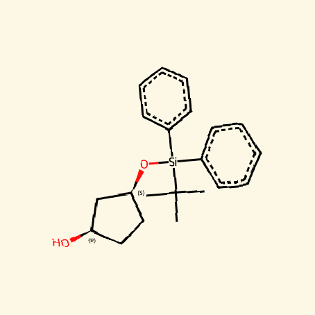 CC(C)(C)[Si](O[C@H]1CC[C@@H](O)C1)(c1ccccc1)c1ccccc1